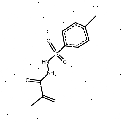 C=C(C)C(=O)NNS(=O)(=O)c1ccc(C)cc1